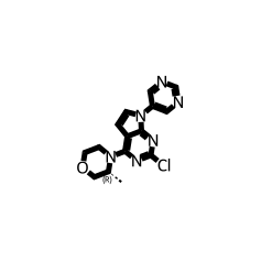 C[C@@H]1COCCN1c1nc(Cl)nc2c1ccn2-c1cncnc1